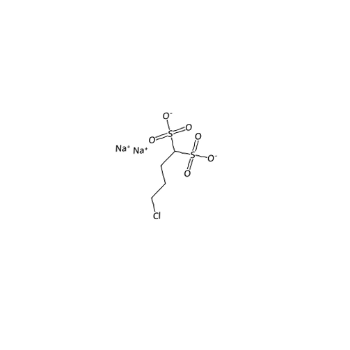 O=S(=O)([O-])C(CCCCl)S(=O)(=O)[O-].[Na+].[Na+]